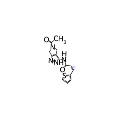 CC(=O)N1Cc2n[nH]c(NC(=O)/C=C\c3cccs3)c2C1